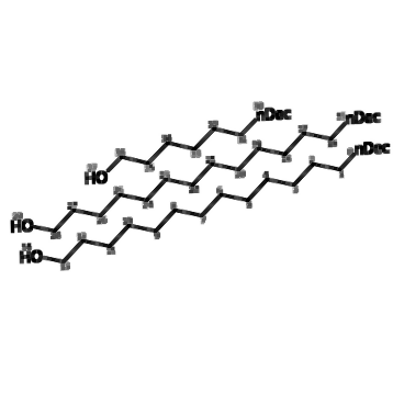 CCCCCCCCCCCCCCCCCCCCCCCO.CCCCCCCCCCCCCCCCCCCCCCCO.CCCCCCCCCCCCCCCCO